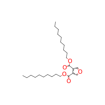 CCCCCCCCCCOC(=O)c1cocc1C(=O)OCCCCCCCCCC